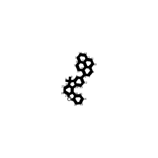 CC1(C)c2cc(-c3ccc4ccc5cccc6ccc3c4c56)ccc2-c2c1ccc1oc3ccccc3c21